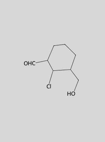 O=CC1CCCC(CO)C1Cl